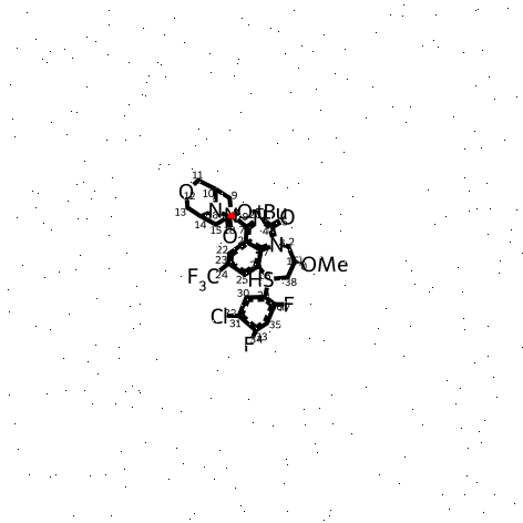 CO[C@H]1Cn2c(=O)nc(N3CC4COCC(C3)N4C(=O)OC(C)(C)C)c3cc(C(F)(F)F)cc(c32)[SH](c2cc(Cl)c(F)cc2F)C1